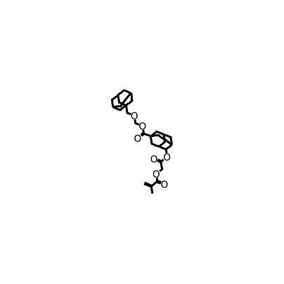 C=C(C)C(=O)OCC(=O)OC1C2CC3CC1CC(C(=O)OCOCC14CC5CC(CC(C5)C1)C4)(C3)C2